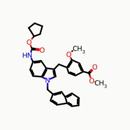 COC(=O)c1ccc(Cc2cn(Cc3ccc4ccccc4c3)c3ccc(NC(=O)OC4CCCC4)cc23)c(OC)c1